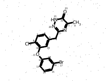 Cc1nc(Cc2ccc(Cl)c(Oc3cccc(Br)c3)c2)n[nH]c1=O